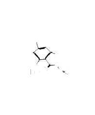 Cc1cc(C)c(C(=O)OP=O)c(C)c1.[LiH]